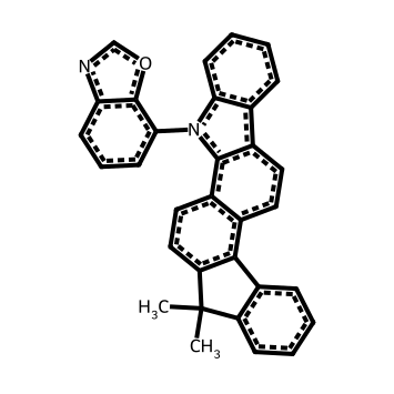 CC1(C)c2ccccc2-c2c1ccc1c2ccc2c3ccccc3n(-c3cccc4ncoc34)c12